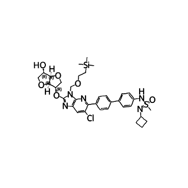 C[Si](C)(C)CCOCn1c(O[C@@H]2CO[C@H]3[C@@H]2OC[C@H]3O)nc2cc(Cl)c(-c3ccc(-c4ccc(NS(C)(=O)=NC5CCC5)cc4)cc3)nc21